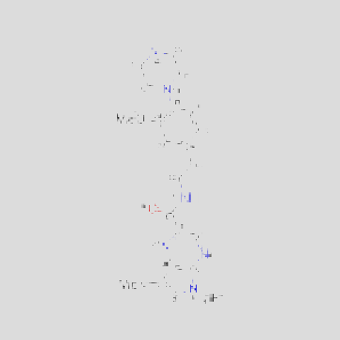 CNc1cn(C(C)C)c2ncc(C(=O)NCCc3ccc(N4CCNCC4)c(OC)c3)nc12